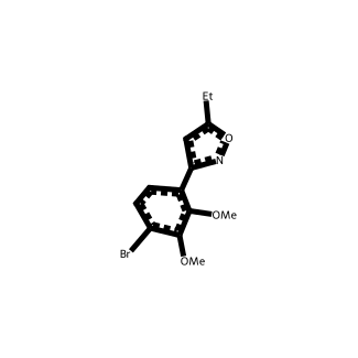 CCc1cc(-c2ccc(Br)c(OC)c2OC)no1